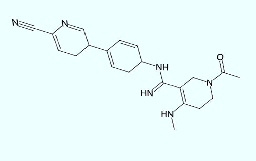 CNC1=C(C(=N)NC2C=CC(C3C=NC(C#N)=CC3)=CC2)CN(C(C)=O)CC1